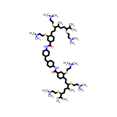 CC(C)C(CCC(C)C(CCC1CCC(C(=O)NC2CCC(CC3CCC(NC(=O)C4CCC(CCC(SCCN(C)C)C(C)CCC(SCCN(C)C)C(C)C)C(SCCN(C)C)C4)CC3)CC2)CC1SCCN(C)C)SCCN(C)C)SCCN(C)C